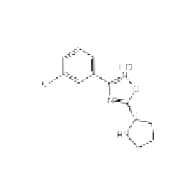 Cl.Clc1cccc(-c2noc([C@H]3CCCN3)n2)c1